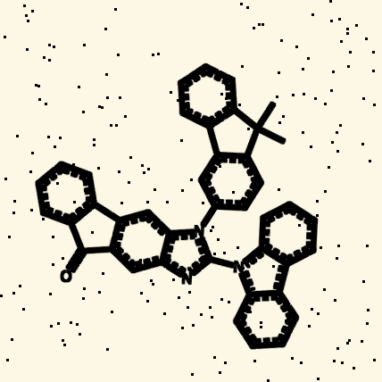 CC1(C)c2ccccc2-c2cc(-n3c(-n4c5ccccc5c5ccccc54)nc4cc5c(cc43)-c3ccccc3C5=O)ccc21